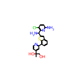 CC(O)(CO)c1ccnc(-c2cccc3cc(C(N)c4nc(N)ccc4Cl)sc23)c1